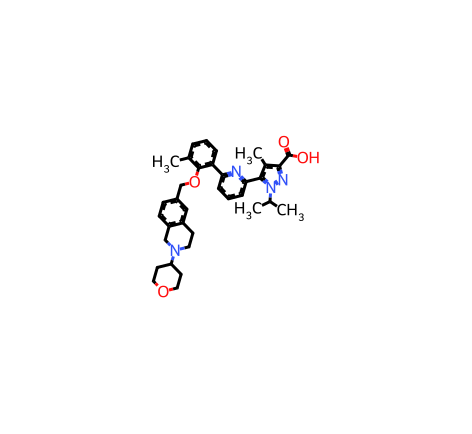 Cc1cccc(-c2cccc(-c3c(C)c(C(=O)O)nn3C(C)C)n2)c1OCc1ccc2c(c1)CCN(C1CCOCC1)C2